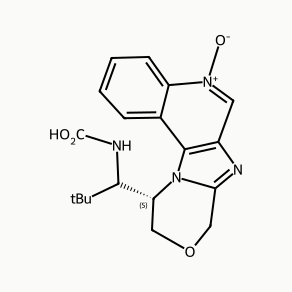 CC(C)(C)C(NC(=O)O)[C@H]1COCc2nc3c[n+]([O-])c4ccccc4c3n21